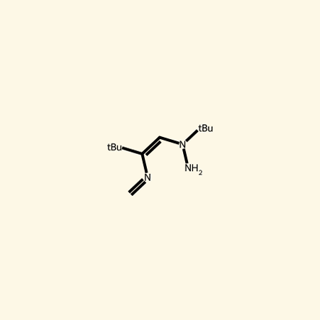 C=N/C(=C\N(N)C(C)(C)C)C(C)(C)C